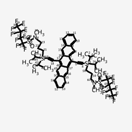 CC(C)[Si](C#Cc1c2cc3ccccc3cc2c(C#C[Si](CCCN(C)S(=O)(=O)C(F)(F)C(F)(F)C(F)(F)C(F)(F)F)(C(C)C)C(C)C)c2cc3ccccc3cc12)(CCCN(C)S(=O)(=O)C(F)(F)C(F)(F)C(F)(F)C(F)(F)F)C(C)C